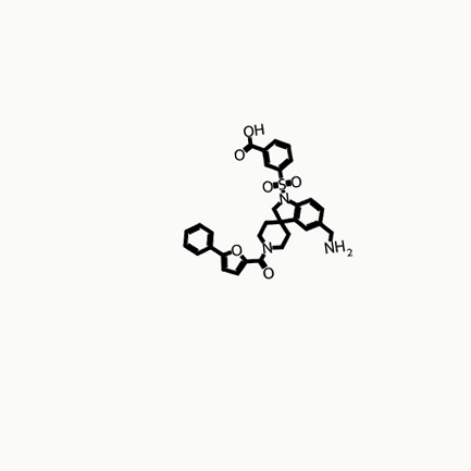 NCc1ccc2c(c1)C1(CCN(C(=O)c3ccc(-c4ccccc4)o3)CC1)CN2S(=O)(=O)c1cccc(C(=O)O)c1